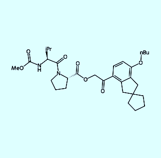 CCCCOc1ccc(C(=O)COC(=O)[C@@H]2CCCN2C(=O)[C@@H](NC(=O)OC)C(C)C)c2c1CC1(CCCC1)C2